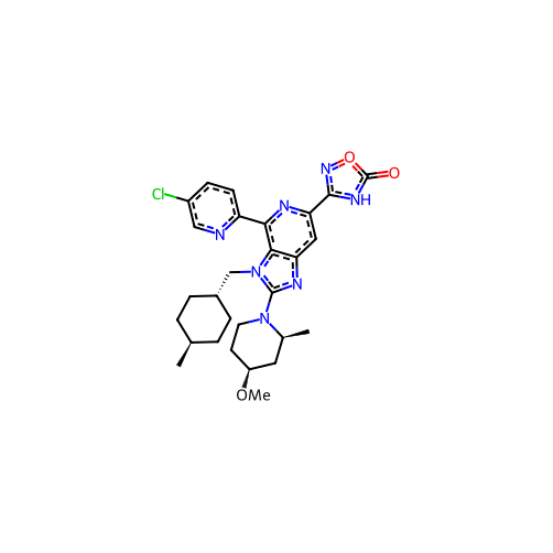 CO[C@H]1CCN(c2nc3cc(-c4noc(=O)[nH]4)nc(-c4ccc(Cl)cn4)c3n2C[C@H]2CC[C@H](C)CC2)[C@@H](C)C1